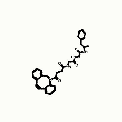 CC(Cc1ccccc1)NC(=O)CNC(=O)CNC(=O)CCC(=O)N1Cc2ccccc2C#Cc2ccccc21